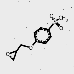 CS(=O)(=O)c1ccc(OCC2CO2)cc1